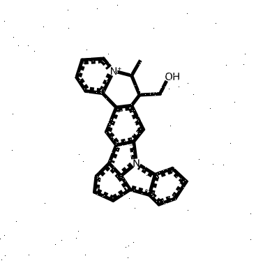 CC1C(CO)c2cc3c(cc2-c2cccc[n+]21)c1cccc2c4ccccc4n3c21